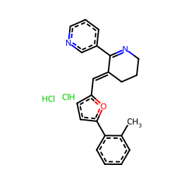 Cc1ccccc1-c1ccc(C=C2CCCN=C2c2cccnc2)o1.Cl.Cl